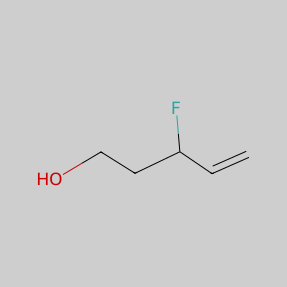 C=CC(F)CCO